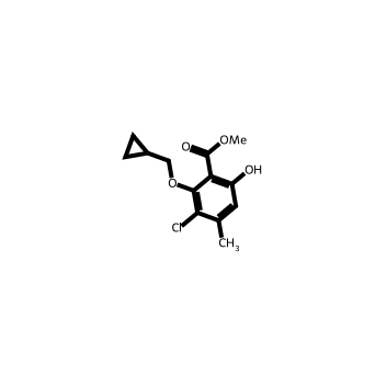 COC(=O)c1c(O)cc(C)c(Cl)c1OCC1CC1